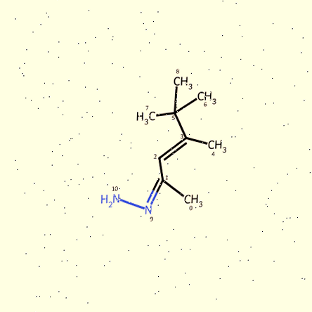 CC(/C=C(\C)C(C)(C)C)=N/N